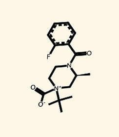 C[C@H]1C[N+](C(=O)[O-])(C(C)(C)C)CCN1C(=O)c1ccccc1F